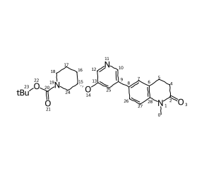 CN1C(=O)CCc2cc(-c3cncc(O[C@H]4CCCN(C(=O)OC(C)(C)C)C4)c3)ccc21